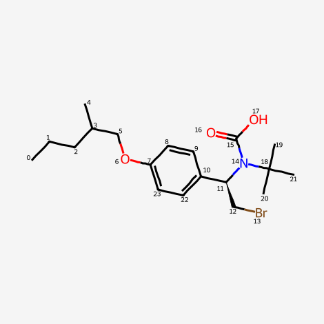 CCCC(C)COc1ccc([C@H](CBr)N(C(=O)O)C(C)(C)C)cc1